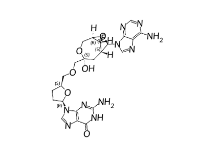 Nc1nc2c(ncn2[C@H]2CC[C@@H](COC[C@]3(O)C[C@H]4C(n5cnc6c(N)ncnc65)O[C@H](CO3)[C@@H]4F)O2)c(=O)[nH]1